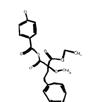 CCOC(=O)C(Cc1ccccc1)(OC)C(=O)OC(=O)c1ccc(Cl)cc1